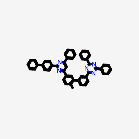 Cc1ccc(-c2cc(-c3ccccc3)nc(-c3ccc(-c4ccccc4)cc3)n2)cc1-c1cccc(-c2nc(-c3ccccc3)nc(-c3ccccc3)n2)c1